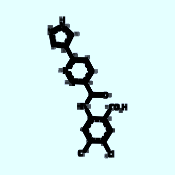 O=C(Nc1cc(Cl)c(Cl)cc1C(=O)O)c1ccc(-c2cn[nH]c2)nn1